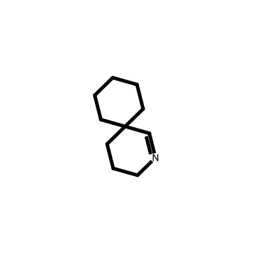 C1=NCCCC12CCCCC2